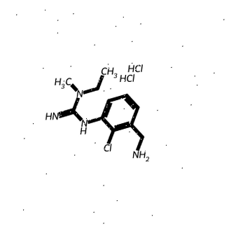 CCN(C)C(=N)Nc1cccc(CN)c1Cl.Cl.Cl